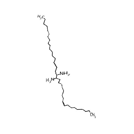 CCCCCCCC/C=C\CCCCCCCC(N)C(N)CCCCCCCCCCCCCCCCC